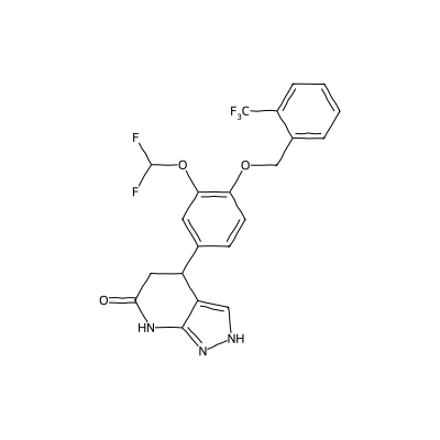 O=C1CC(c2ccc(OCc3ccccc3C(F)(F)F)c(OC(F)F)c2)c2c[nH]nc2N1